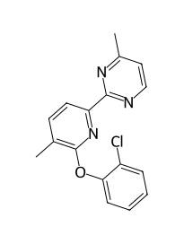 Cc1ccnc(-c2ccc(C)c(Oc3ccccc3Cl)n2)n1